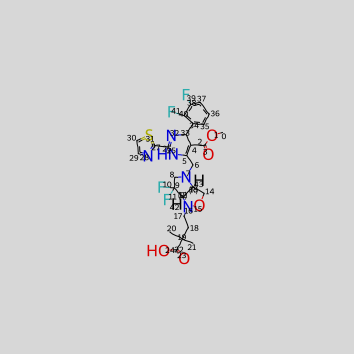 COC(=O)C1=C(CN2CC(F)(F)[C@H]3[C@@H]2CON3CCC(C)(C)C(=O)O)NC(c2nccs2)=NC1c1cccc(F)c1F